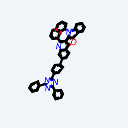 c1ccc(-c2nc(-c3ccccc3)nc(-c3ccc(-c4ccc5c(c4)nc(-c4ccccc4)c4c5oc5c6ccccc6n(-c6ccccc6)c54)cc3)n2)cc1